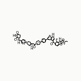 CCN(C)S(=O)(=O)Nc1cccc(C(=O)c2c[nH]c3ncc(-c4ccc(N5CCN(C(=O)CC6(O)CCN(c7ccc(NC8CCC(=O)NC8=O)cn7)CC6)CC5)cc4)cc23)c1F